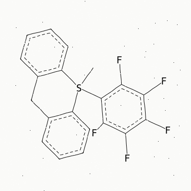 CS1(c2c(F)c(F)c(F)c(F)c2F)c2ccccc2Cc2ccccc21